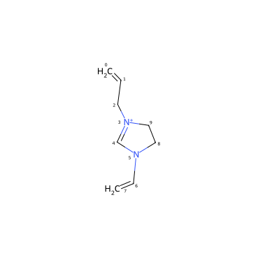 C=CC[N+]1=CN(C=C)CC1